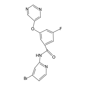 O=C(Nc1cc(Br)ccn1)c1cc(F)cc(Oc2cncnc2)c1